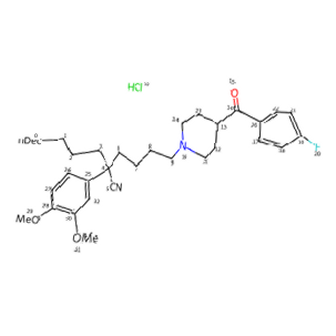 CCCCCCCCCCCCCC(C#N)(CCCCN1CCC(C(=O)c2ccc(F)cc2)CC1)c1ccc(OC)c(OC)c1.Cl